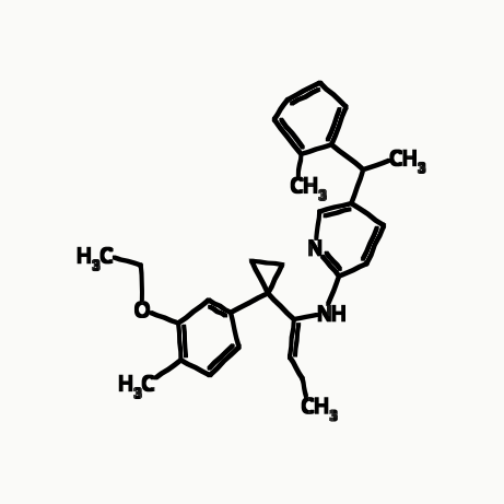 CC/C=C(\Nc1ccc(C(C)c2ccccc2C)cn1)C1(c2ccc(C)c(OCC)c2)CC1